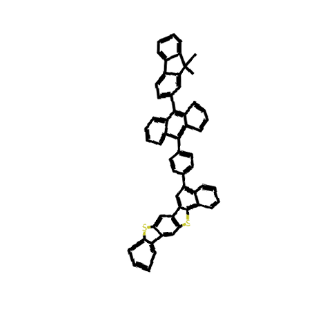 CC1(C)c2ccccc2-c2ccc(-c3c4ccccc4c(-c4ccc(-c5cc6c7cc8sc9ccccc9c8cc7sc6c6ccccc56)cc4)c4ccccc34)cc21